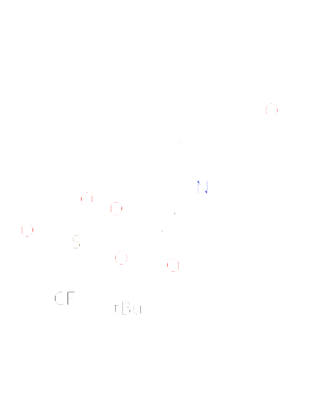 CC(C)(C)OC(=O)N1C2C=C(OS(=O)(=O)C(F)(F)F)CC1COC2